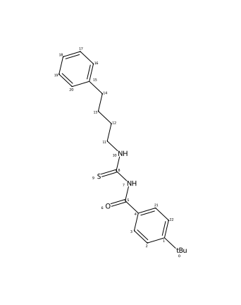 CC(C)(C)c1ccc(C(=O)NC(=S)NCCCCc2ccccc2)cc1